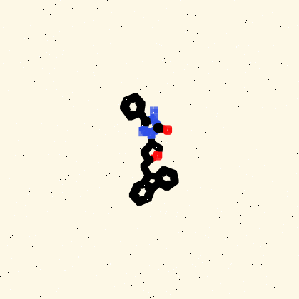 O=c1[nH]c(-c2ccccc2)nn1C1COC(CC2c3ccccc3-c3ccccc32)C1